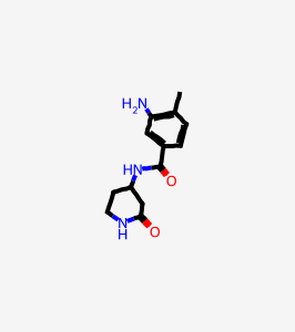 Cc1ccc(C(=O)NC2CCNC(=O)C2)cc1N